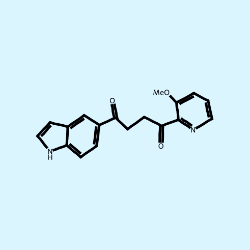 COc1cccnc1C(=O)CCC(=O)c1ccc2[nH]ccc2c1